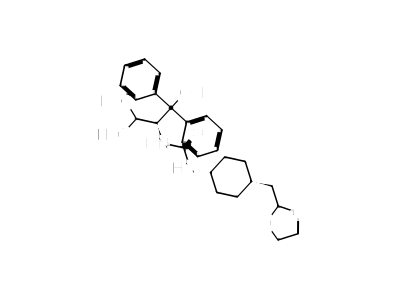 CC(C)[C@H](NC(=O)N[C@H]1CC[C@H](CC2OCCO2)CC1)C(O)(c1ccccc1)c1ccccc1